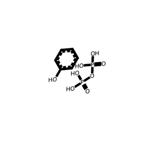 O=P(O)(O)OP(=O)(O)O.Oc1ccccc1